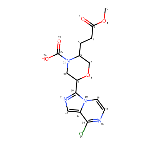 COC(=O)CCC1COC(c2ncc3c(Cl)nccn23)CN1C(=O)O